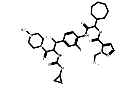 CCn1nccc1C(=O)NC(C(=O)Nc1ccc(C(C)C(NC(=O)NC2CC2)C(=O)N2CCN(C)CC2)cc1F)C1CCCCCC1